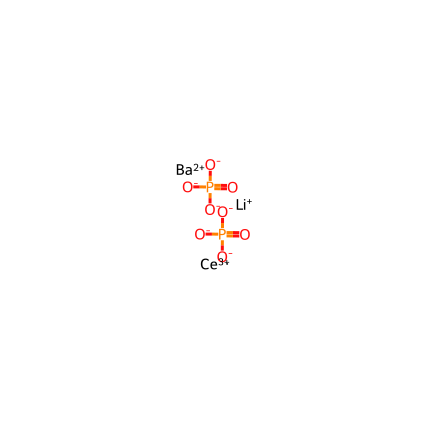 O=P([O-])([O-])[O-].O=P([O-])([O-])[O-].[Ba+2].[Ce+3].[Li+]